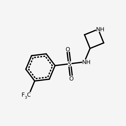 O=S(=O)(NC1CNC1)c1cccc(C(F)(F)F)c1